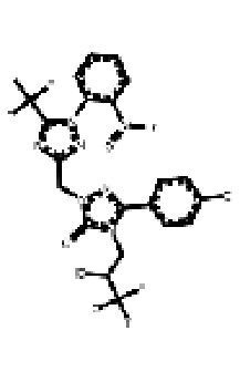 CC(F)(F)c1nc(Cn2nc(-c3ccc(Cl)cc3)n(CC(O)C(F)(F)F)c2=O)nn1-c1ccccc1[N+](=O)[O-]